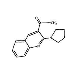 CC(=O)c1cc2ccccc2nc1N1CCCC1